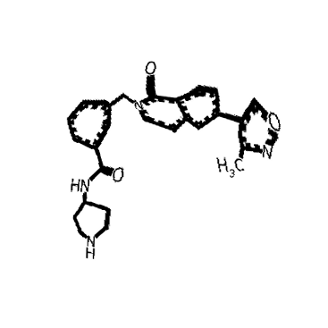 Cc1nocc1-c1ccc2c(=O)n(Cc3cccc(C(=O)NC4CCNCC4)c3)ccc2c1